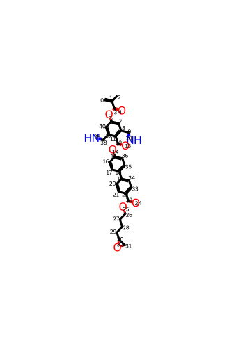 C=C(C)C(=O)Oc1cc(C=N)c(C(=O)Oc2ccc(-c3ccc(C(=O)OCCCCC4CO4)cc3)cc2)c(C=N)c1